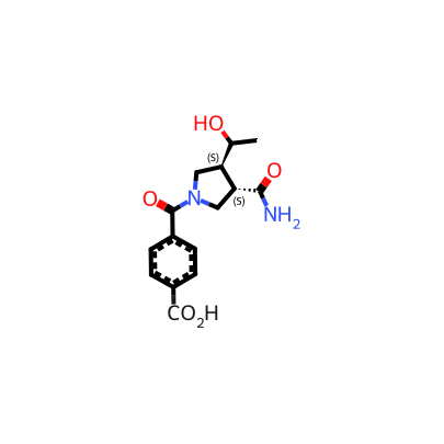 CC(O)[C@@H]1CN(C(=O)c2ccc(C(=O)O)cc2)C[C@H]1C(N)=O